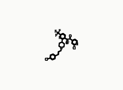 O=C(c1ccnc(Cl)c1)[NH+]([O-])c1ccc(C(F)(F)F)nc1C1CCN(C/C=C/c2ccc(Cl)cc2)CC1